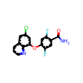 NC(=O)c1cc(F)c(Oc2cc(Cl)cc3cccnc23)cc1F